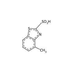 Cc1cccc2sc(S(=O)(=O)O)nc12